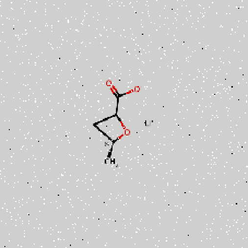 C[C@H]1CC(C(=O)[O-])O1.[Li+]